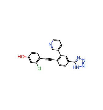 Oc1ccc(C#Cc2ccc(-c3nnn[nH]3)cc2-c2cccnc2)c(Cl)c1